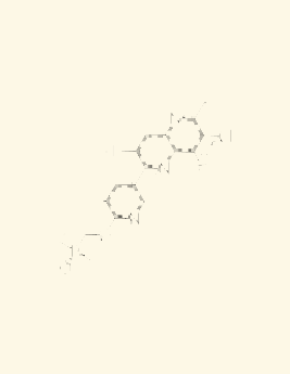 Cc1nc2cc(F)c(-c3ccc(OCP(C)(C)=O)nc3)nc2c(Cl)c1Cl